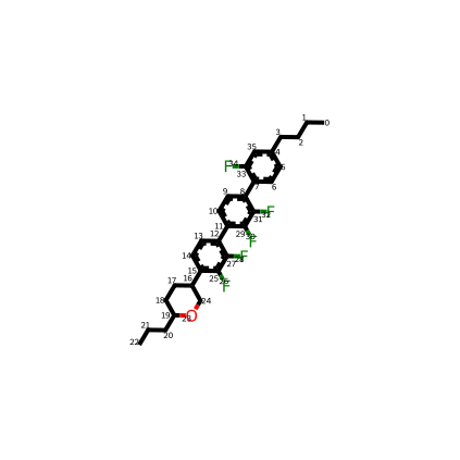 CCCCc1ccc(-c2ccc(-c3ccc(C4CCC(CCC)OC4)c(F)c3F)c(F)c2F)c(F)c1